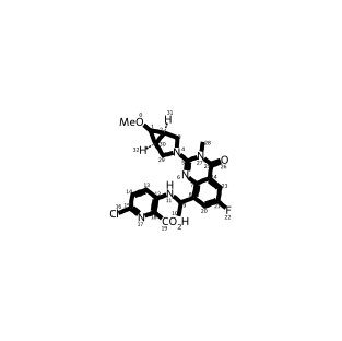 COC1[C@H]2CN(c3nc4c(C(C)Nc5ccc(Cl)nc5C(=O)O)cc(F)cc4c(=O)n3C)C[C@@H]12